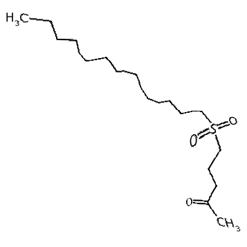 CCCCCCCCCCCCS(=O)(=O)CCCC(C)=O